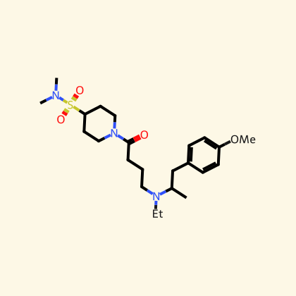 CCN(CCCC(=O)N1CCC(S(=O)(=O)N(C)C)CC1)C(C)Cc1ccc(OC)cc1